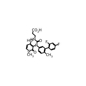 Cc1ccc(N(C(=O)NCCC(=O)O)c2c(O)ccn(C)c2=O)cc1-c1ccc(F)cc1F